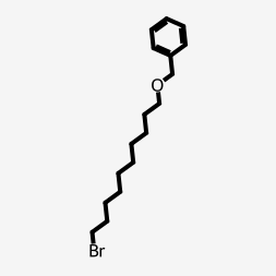 BrCCCCCCCCCCOCc1ccccc1